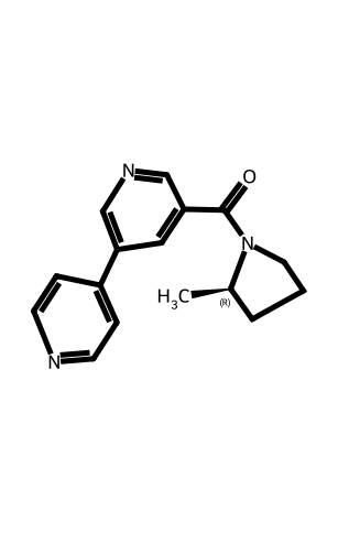 C[C@@H]1CCCN1C(=O)c1cncc(-c2ccncc2)c1